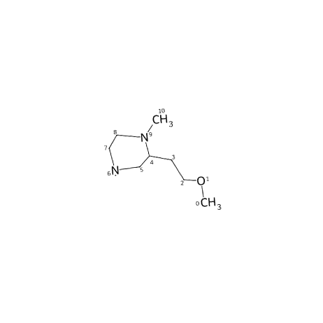 COCCC1C[N]CCN1C